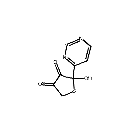 O=C1CSC(O)(c2ccn[c]n2)C1=O